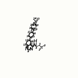 CC(C)CCNc1ncnc2ccc(-c3ccc(N4CCN(C(C)C)CC4)cc3)cc12